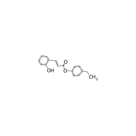 CCc1ccc(OC(=O)C=Cc2ccccc2O)cc1